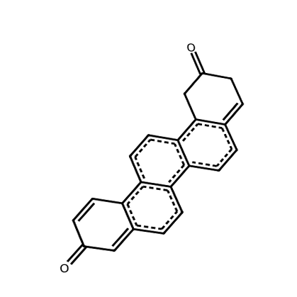 O=C1C=Cc2c(ccc3c2ccc2c4c(ccc23)=CCC(=O)C4)=C1